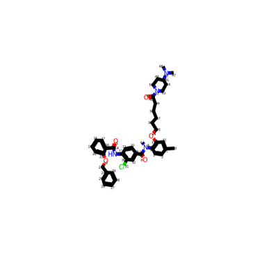 Cc1ccc(N(C)C(=O)c2ccc(NC(=O)c3ccccc3OCc3ccccc3)c(Cl)c2)c(OCCCCCC(=O)N2CCC(N(C)C)CC2)c1